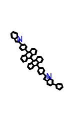 C1=CC2=NC(c3ccc(-c4c5ccccc5c(-c5c6ccccc6c(-c6ccc(C7=CC8C=CC(c9ccccc9)=CC8=N7)cc6)c6ccccc56)c5ccccc45)cc3)=CC2C=C1